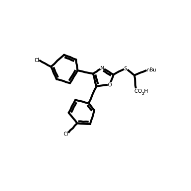 CCCCC(Sc1nc(-c2ccc(Cl)cc2)c(-c2ccc(Cl)cc2)o1)C(=O)O